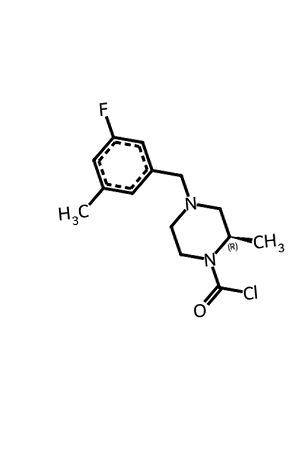 Cc1cc(F)cc(CN2CCN(C(=O)Cl)[C@H](C)C2)c1